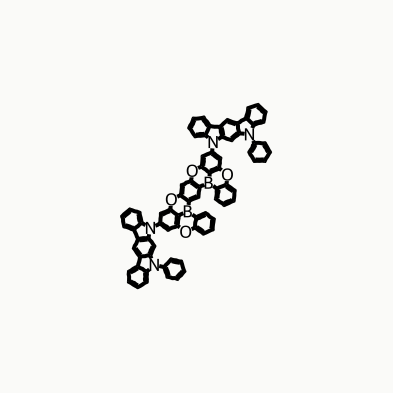 c1ccc(-n2c3ccccc3c3cc4c5ccccc5n(-c5cc6c7c(c5)Oc5cc8c(cc5B7c5ccccc5O6)B5c6ccccc6Oc6cc(-n7c9ccccc9c9cc%10c%11ccccc%11n(-c%11ccccc%11)c%10cc97)cc(c65)O8)c4cc32)cc1